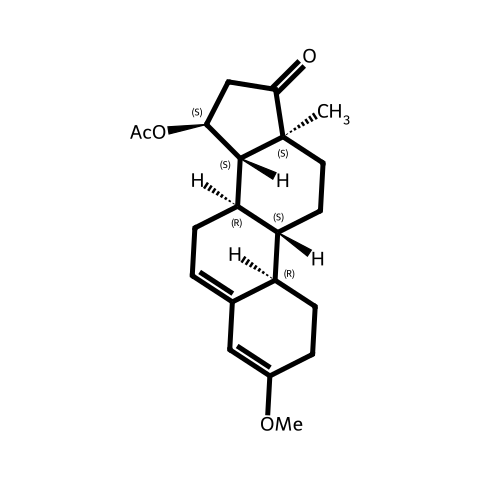 COC1=CC2=CC[C@@H]3[C@H](CC[C@]4(C)C(=O)C[C@H](OC(C)=O)[C@@H]34)[C@H]2CC1